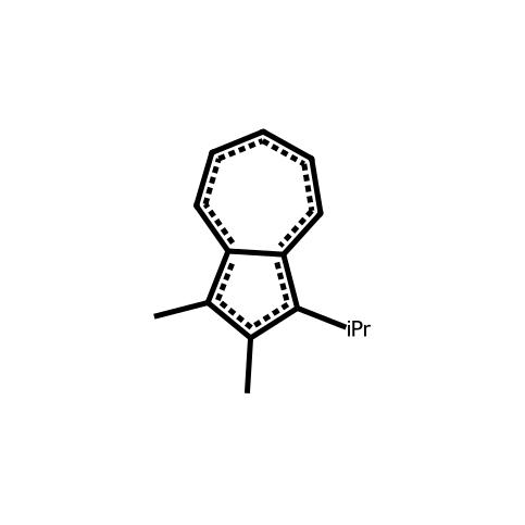 Cc1c2cccccc-2c(C(C)C)c1C